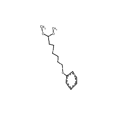 CO[C](CCCCCCOc1ccccc1)OC